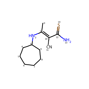 CC(NC1CCCCCC1)=C(C#N)C(N)=S